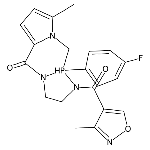 Cc1nocc1C(=O)N1CCN2C(=O)c3ccc(C)n3C[PH]12c1ccc(F)cc1